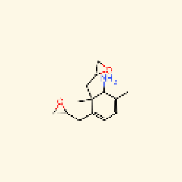 CC1=CC=C(CC2CO2)C(C)(CC2CO2)C1N